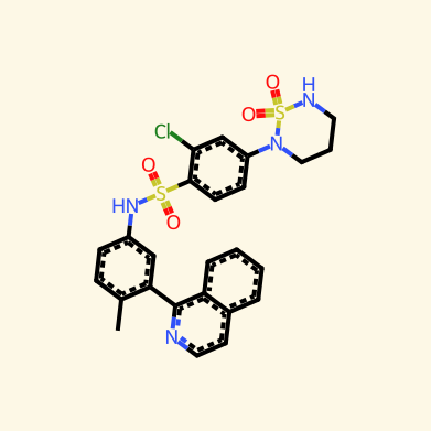 Cc1ccc(NS(=O)(=O)c2ccc(N3CCCNS3(=O)=O)cc2Cl)cc1-c1nccc2ccccc12